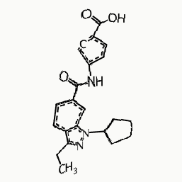 CCc1nn(C2CCCC2)c2cc(C(=O)Nc3ccc(C(=O)O)cc3)ccc12